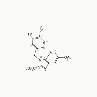 CCOC(=O)c1cc2cc(OC(C)=O)ccc2n1Cc1ccc(Br)c(F)c1